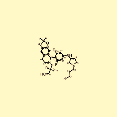 CC1(C)Oc2cc3c(cc2O1)C(c1c(F)cc(NC2CCN(CCCF)C2)cc1F)N(CC(F)(F)CO)CC3